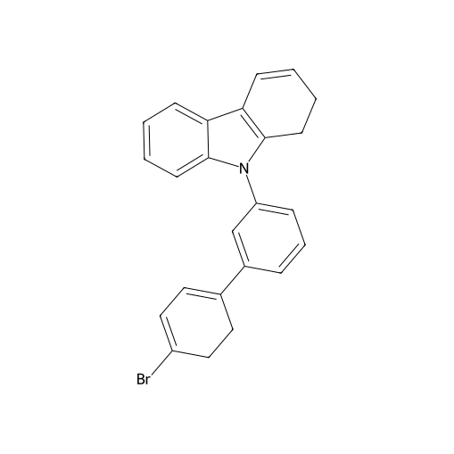 BrC1=CC=C(c2cccc(-n3c4c(c5ccccc53)C=CCC4)c2)CC1